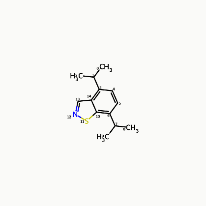 CC(C)c1ccc(C(C)C)c2sncc12